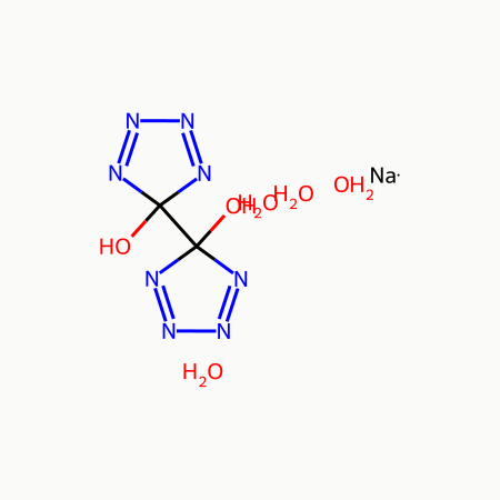 O.O.O.O.OC1(C2(O)N=NN=N2)N=NN=N1.[Na]